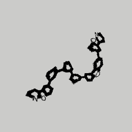 c1cc(-c2cccc(-c3ccc4oc5ccc(-c6ccc7oc8ncccc8c7c6)cc5c4c3)c2)cc(-c2cccc(-c3ccc4oc5ncccc5c4c3)c2)c1